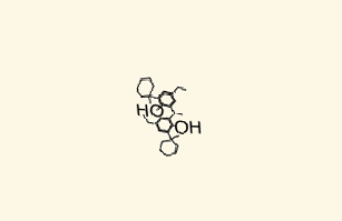 CCc1cc(C(C)c2cc(CC)cc(C3(C)CCCCC3)c2O)c(O)c(C2(C)CCCCC2)c1